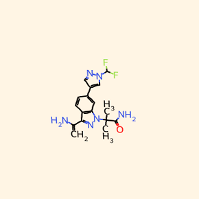 C=C(N)c1nn(C(C)(C)C(N)=O)c2cc(-c3cnn(C(F)F)c3)ccc12